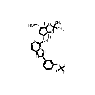 CC1(C)O[C@@H]2[C@@H](CO)C[C@@H](Nc3nccc4nc(-c5cccc(SC(F)(F)F)c5)nn34)[C@@H]2O1